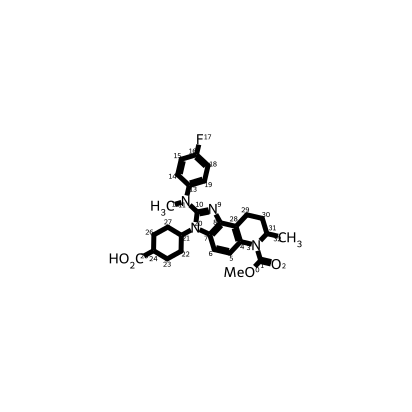 COC(=O)N1c2ccc3c(nc(N(C)c4ccc(F)cc4)n3C3CCC(C(=O)O)CC3)c2CCC1C